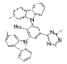 Cc1ccc2c3ccccc3n(-c3cc(-c4nc(C)nc(C)n4)cc(-n4c5ccccc5c5ccc(C)cc54)c3C#N)c2c1